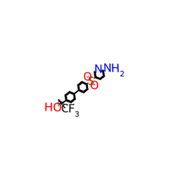 C[C@@](O)(c1ccc(-c2ccc(S(=O)(=O)c3ccc(N)nc3)cc2)cc1)C(F)(F)F